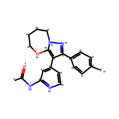 CC(=O)Nc1cc(-c2c(-c3ccc(F)cc3)nn3c2OCCCC3)ccn1